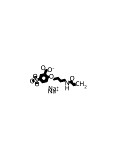 C=CC(=O)NCCCCOc1ccc(S(=O)(=O)[O-])cc1C(=O)[O-].[Na+].[Na+]